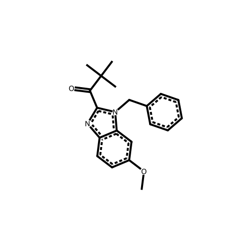 COc1ccc2nc(C(=O)C(C)(C)C)n(Cc3ccccc3)c2c1